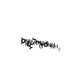 CCCC(CCNC(=O)c1ccc(NCN)c(C)c1)NCCc1nc(Nc2cc(C)cc(C)c2)ncc1C(C)C